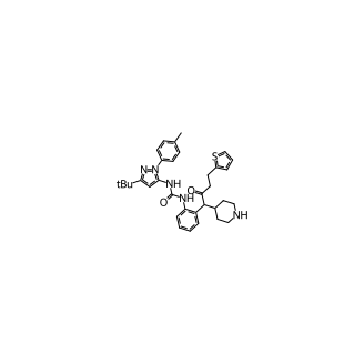 Cc1ccc(-n2nc(C(C)(C)C)cc2NC(=O)Nc2ccccc2C(C(=O)CCc2cccs2)C2CCNCC2)cc1